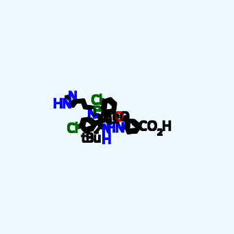 COc1cc(C(=O)O)ccc1NC(=O)[C@@H]1N[C@@H](CC(C)(C)C)[C@@]2(CN(CCCc3c[nH]cn3)c3cc(Cl)ccc32)[C@H]1c1cccc(Cl)c1F